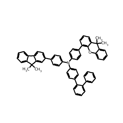 CC1(C)c2ccccc2-c2ccc(-c3ccc(N(c4ccc(-c5ccccc5-c5ccccc5)cc4)c4ccc(-c5cccc6c5Oc5ccccc5C6(C)C)cc4)cc3)cc21